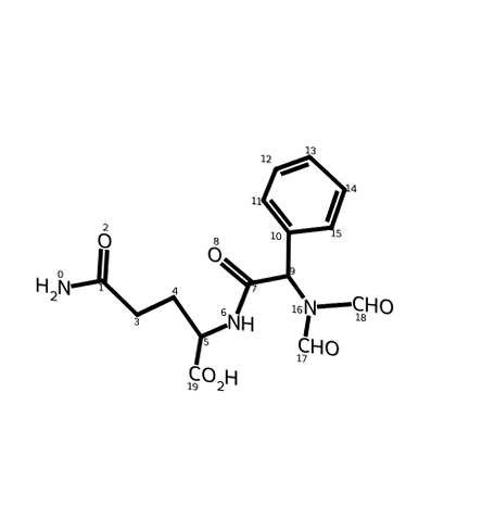 NC(=O)CCC(NC(=O)C(c1ccccc1)N(C=O)C=O)C(=O)O